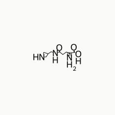 N[C@@H](CCC(=O)NCC1CNC1)C(=O)O